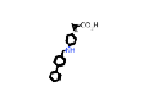 O=C(O)[C@@H]1C[C@H]1c1ccc(NCc2ccc(-c3ccccc3)cc2)cc1